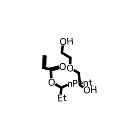 C=CC(=O)OC(CC)CCCCC.OCCOCCO